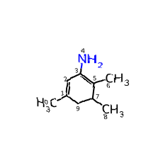 CC1=CC(N)=C(C)C(C)C1